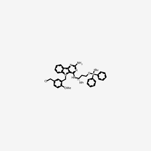 CCC[C@@H](CCO[Si](c1ccccc1)(c1ccccc1)C(C)(C)C)Nc1nc(N)nc2c3ccccc3n(Cc3cc(CCl)ccc3OC)c12